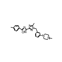 Cc1ccc(-c2nc(-c3nc(C)n(Cc4cccc(N5CCN(C)CC5)c4)n3)no2)cc1